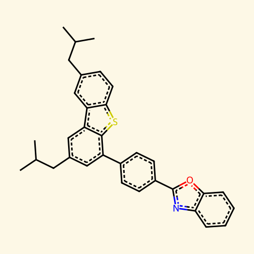 CC(C)Cc1ccc2sc3c(-c4ccc(-c5nc6ccccc6o5)cc4)cc(CC(C)C)cc3c2c1